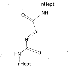 CCCCCCCNC(=O)N=NC(=O)NCCCCCCC